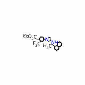 CCOC(=O)Cc1ccc(N2CC[C@H](N[C@H](C)c3cccc4ccccc34)C2)cc1C(F)(F)F